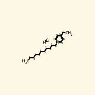 CCCCCCCCCCC[n+]1ccc(CC)cc1.[C-]#N